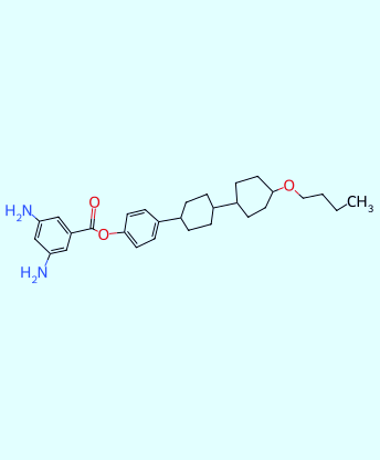 CCCCOC1CCC(C2CCC(c3ccc(OC(=O)c4cc(N)cc(N)c4)cc3)CC2)CC1